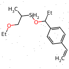 C=Cc1ccc(C(CC)O[SiH2]C(C)COCC)cc1